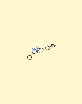 CC(C)c1ccc(CCc2nc3ncc(-c4ccccc4)cc3[nH]2)cc1